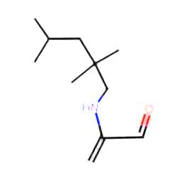 C=C(C=O)NCC(C)(C)CC(C)C